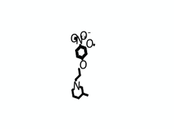 COc1cc(OCCCN2CCCC(C)C2)ccc1[N+](=O)[O-]